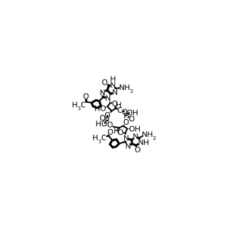 CC(=O)c1cccc(-c2nc3c(=O)[nH]c(N)nc3n2[C@@H]2O[C@@H]3COP(=O)(O)OC4[C@@H](COP(=O)(O)OC3[C@@H]2O)O[C@@H](n2c(-c3cccc(C(C)=O)c3)nc3c(=O)[nH]c(N)nc32)[C@H]4O)c1